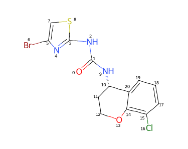 O=C(Nc1nc(Br)cs1)N[C@H]1CCOc2c(Cl)cccc21